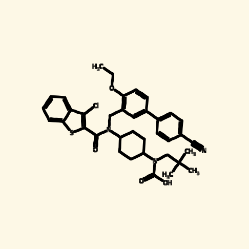 CCOc1ccc(-c2ccc(C#N)cc2)cc1CN(C(=O)c1sc2ccccc2c1Cl)C1CCC(N(CC(C)(C)C)C(=O)O)CC1